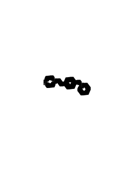 c1cc(CN2CCCCC2)ccc1CCN1CCSCC1